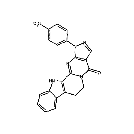 O=c1c2cnn(-c3ccc([N+](=O)[O-])cc3)c2nc2n1CCc1c-2[nH]c2ccccc12